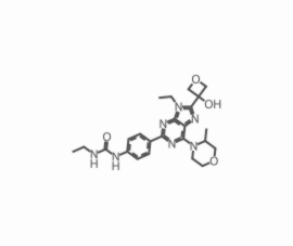 CCNC(=O)Nc1ccc(-c2nc(N3CCOCC3C)c3nc(C4(O)COC4)n(CC)c3n2)cc1